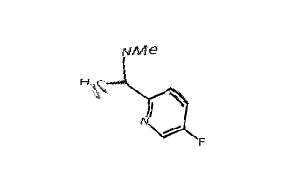 CNC(C)c1ccc(F)cn1